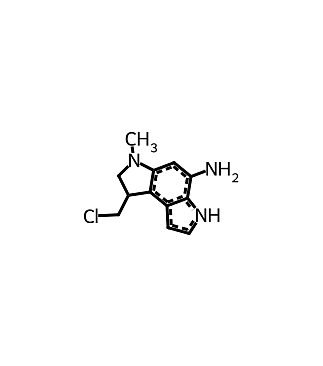 CN1CC(CCl)c2c1cc(N)c1[nH]ccc21